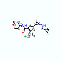 Cc1sc(C2CC2NCC2CC2)cc1C(=O)NC1CCOCC1.Cl